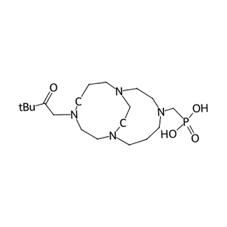 CC(C)(C)C(=O)CN1CCCN2CCN(CCCN(CP(=O)(O)O)CC2)CC1